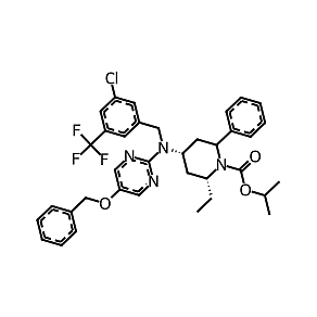 CC[C@@H]1C[C@H](N(Cc2cc(Cl)cc(C(F)(F)F)c2)c2ncc(OCc3ccccc3)cn2)CC(c2ccccc2)N1C(=O)OC(C)C